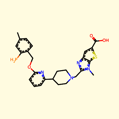 Cc1ccc(COc2cccc(C3CCN(Cc4nc5cc(C(=O)O)sc5n4C)CC3)n2)c(P)c1